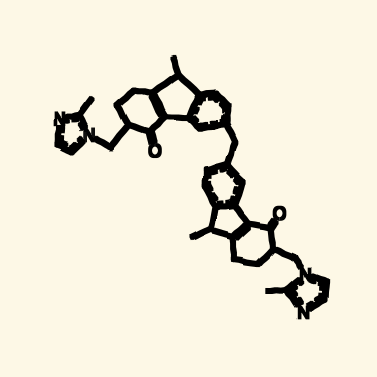 Cc1nccn1CC1CCC2=C(C1=O)c1cc(Cc3ccc4c(c3)C3=C(CCC(Cn5ccnc5C)C3=O)C4C)ccc1C2C